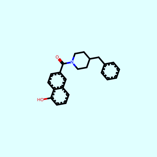 O=C(c1ccc2c(O)cccc2c1)N1CCC(Cc2ccccc2)CC1